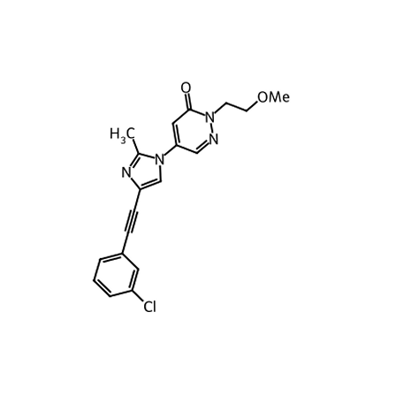 COCCn1ncc(-n2cc(C#Cc3cccc(Cl)c3)nc2C)cc1=O